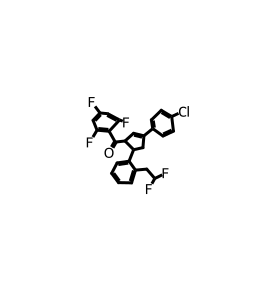 O=C(c1c(F)cc(F)cc1F)C1C=C(c2ccc(Cl)cc2)CC1c1ccccc1CC(F)F